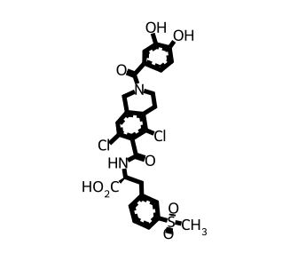 CS(=O)(=O)c1cccc(C[C@H](NC(=O)c2c(Cl)cc3c(c2Cl)CCN(C(=O)c2ccc(O)c(O)c2)C3)C(=O)O)c1